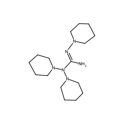 NC(=NN1CCCCC1)N(N1CCCCC1)N1CCCCC1